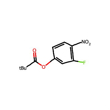 CC(C)(C)C(=O)Oc1ccc([N+](=O)[O-])c(F)c1